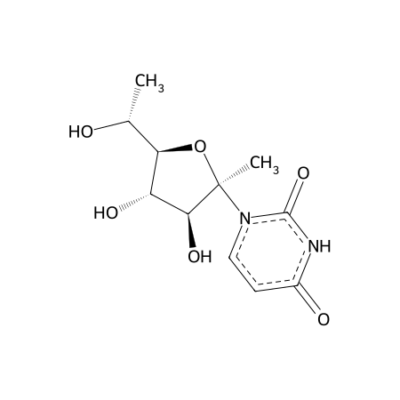 C[C@@H](O)[C@H]1O[C@@](C)(n2ccc(=O)[nH]c2=O)[C@@H](O)[C@@H]1O